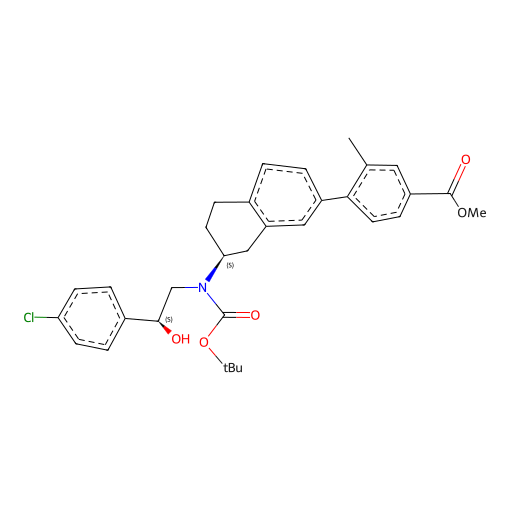 COC(=O)c1ccc(-c2ccc3c(c2)C[C@@H](N(C[C@@H](O)c2ccc(Cl)cc2)C(=O)OC(C)(C)C)CC3)c(C)c1